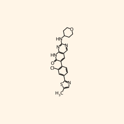 Cc1cnc(-c2ccc(-c3cc4cnc(NC5CCOCC5)nc4[nH]c3=O)c(Cl)c2)s1